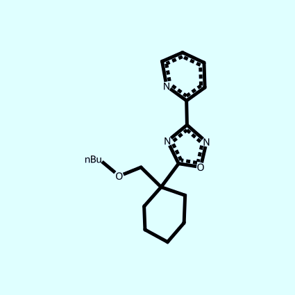 CCCCOCC1(c2nc(-c3ccccn3)no2)CCCCC1